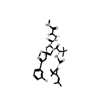 CNC(=O)C(=O)[C@H](C)NC(=O)[C@@H]1C[C@]2(CC(c3cccc(Cl)c3)=NO2)CN1C(=O)[C@@H](NC(=O)[C@@H]1C(C=C(C)C)C1(C)C)C(C)(C)C